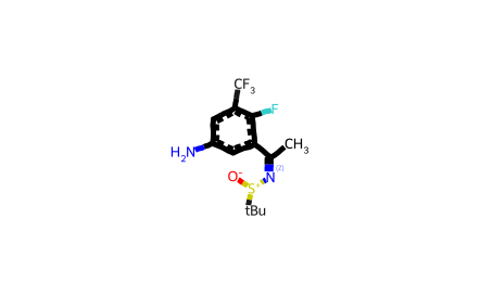 C/C(=N/[S+]([O-])C(C)(C)C)c1cc(N)cc(C(F)(F)F)c1F